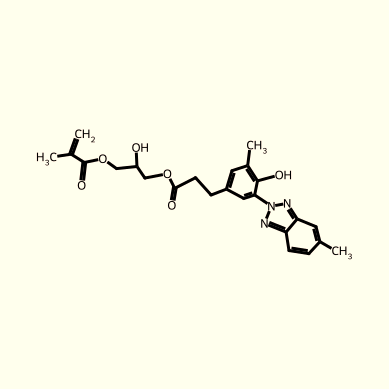 C=C(C)C(=O)OCC(O)COC(=O)CCc1cc(C)c(O)c(-n2nc3ccc(C)cc3n2)c1